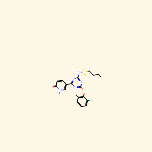 CCCCS(=O)(=O)Nc1nc(Oc2c(C)cccc2F)nc(-c2ccc(=O)n(C)c2)n1